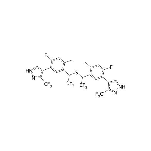 Cc1cc(F)c(-c2c[nH]nc2C(F)(F)F)cc1C(SC(c1cc(-c2c[nH]nc2C(F)(F)F)c(F)cc1C)C(F)(F)F)C(F)(F)F